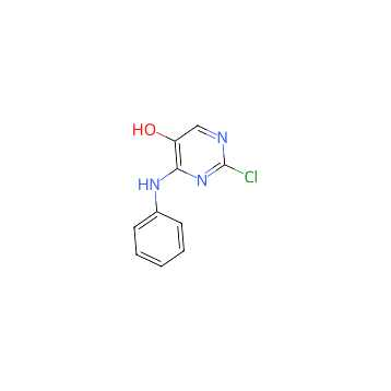 Oc1cnc(Cl)nc1Nc1ccccc1